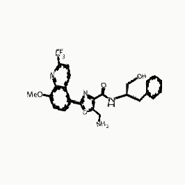 COc1ccc(-c2nc(C(=O)N[C@@H](CO)Cc3ccccc3)c(CN)o2)c2ccc(C(F)(F)F)nc12